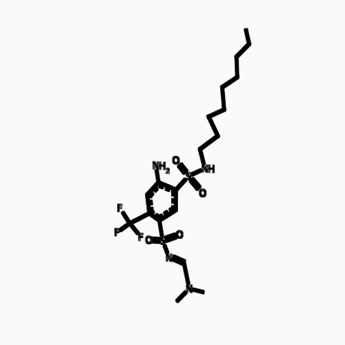 CCCCCCCCCNS(=O)(=O)c1cc(S(=O)(=O)N=CN(C)C)c(C(F)(F)F)cc1N